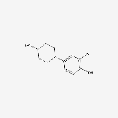 CCCC1CCC(c2ccc(O)c(Br)c2)CC1